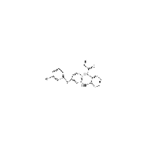 C=CC(=O)Nc1ccccc1Nc1nccc(Oc2cccc(Cl)c2)n1